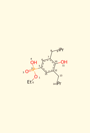 CCOP(=O)(O)c1cc(CC(C)C)c(O)c(CC(C)C)c1